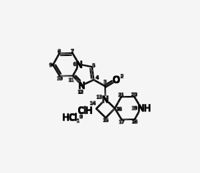 Cl.Cl.O=C(c1cn2ccccc2n1)N1CCC12CCNCC2